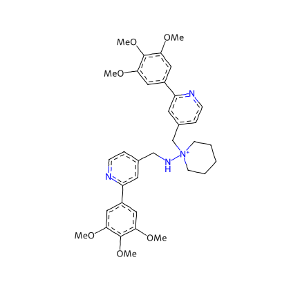 COc1cc(-c2cc(CN[N+]3(Cc4ccnc(-c5cc(OC)c(OC)c(OC)c5)c4)CCCCC3)ccn2)cc(OC)c1OC